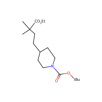 CCOC(=O)C(C)(C)CCC1CCN(C(=O)OC(C)(C)C)CC1